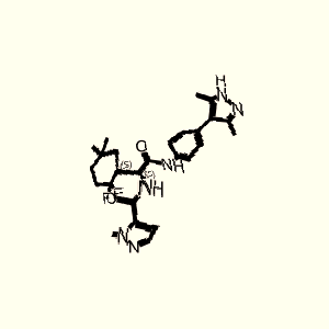 Cc1n[nH]c(C)c1-c1ccc(NC(=O)[C@@H](NC(=O)c2ccnn2C)[C@@H]2CC(C)(C)CCC2(F)F)cc1